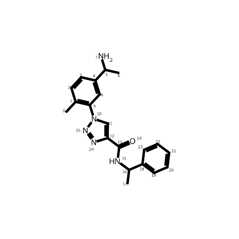 Cc1ccc(C(C)N)cc1-n1cc(C(=O)NC(C)c2ccccc2)nn1